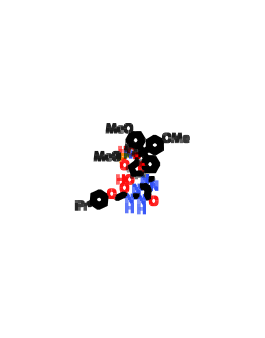 COc1ccc(C(c2ccccc2)(c2ccc(OC)cc2)C(O)[C@H]2O[C@@H](n3cnc4c(=O)[nH]c(NC(=O)COc5ccc(C(C)C)cc5)nc43)[C@H](O)[C@@H]2OP(OC)N(C(C)C)C(C)C)cc1